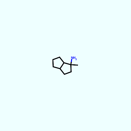 CC1(N)CCC2CCCC21